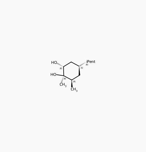 CCC[C@@H](C)[C@H]1C[C@@H](C)[C@@](C)(O)[C@H](O)C1